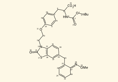 CCCCOC(=O)NC(Cc1ccc(OCCn2c(=O)sc3cc(CC4=CC=CCC4=NOC)ccc32)cc1)C(=O)O